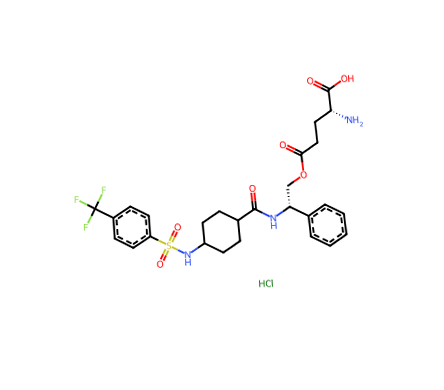 Cl.N[C@H](CCC(=O)OC[C@@H](NC(=O)C1CCC(NS(=O)(=O)c2ccc(C(F)(F)F)cc2)CC1)c1ccccc1)C(=O)O